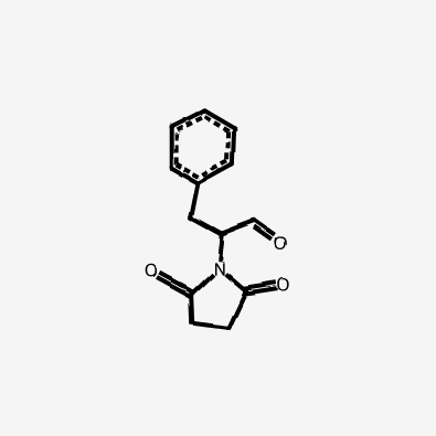 O=CC(Cc1ccccc1)N1C(=O)CCC1=O